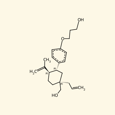 C=CC[C@]1(CO)CC[C@@H](C(=C)C)[C@H](c2ccc(OCCCO)cc2)C1